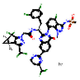 Cn1nc([N-]S(C)(=O)=O)c2c(Cl)ccc(-n3c([C@H](Cc4cc(F)cc(F)c4)NC(=O)Cn4nc(C(F)F)c5c4C(F)(F)[C@@H]4C[C@H]54)nc4cc(-c5nccc(C(F)F)n5)ccc4c3=O)c21.[Na+]